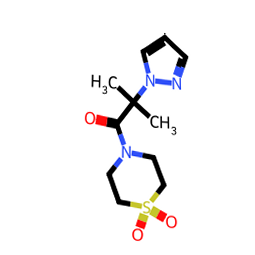 CC(C)(C(=O)N1CCS(=O)(=O)CC1)n1c[c]cn1